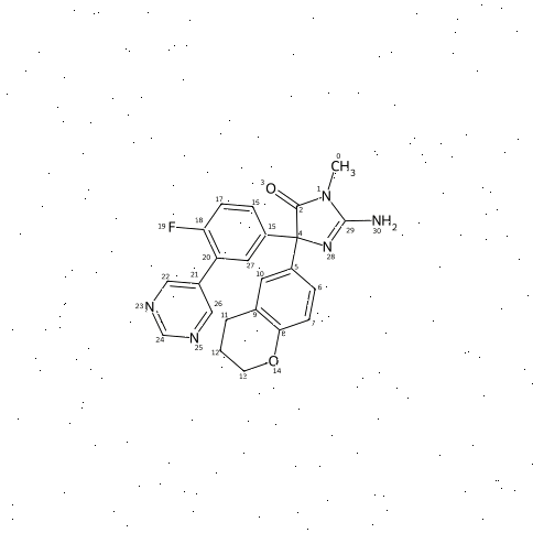 CN1C(=O)C(c2ccc3c(c2)CCCO3)(c2ccc(F)c(-c3cncnc3)c2)N=C1N